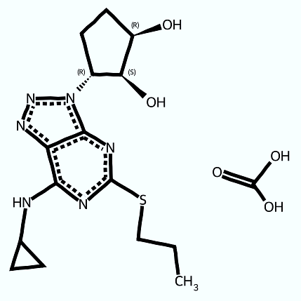 CCCSc1nc(NC2CC2)c2nnn([C@@H]3CC[C@@H](O)[C@H]3O)c2n1.O=C(O)O